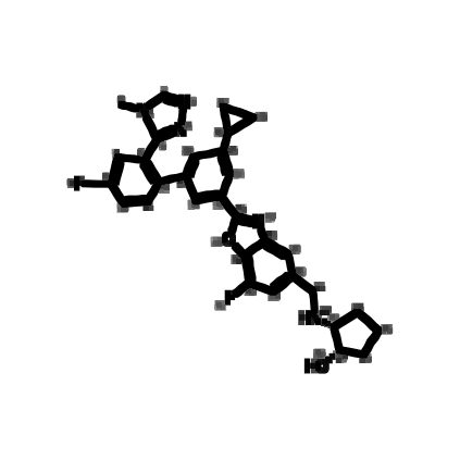 Cn1cnnc1-c1cc(F)ccc1-c1cc(-c2nc3cc(CN[C@@H]4CCC[C@@H]4O)cc(F)c3o2)cc(C2CC2)c1